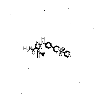 NC(=O)c1cnc(Nc2ccc(C3CCN(S(=O)(=O)c4ccncc4)CC3)cc2)nc1NC1CC1